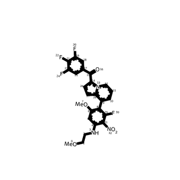 COCCNc1cc(OC)c(-c2cccn3c(C(=O)c4cc(F)c(F)c(F)c4)ccc23)c(F)c1[N+](=O)[O-]